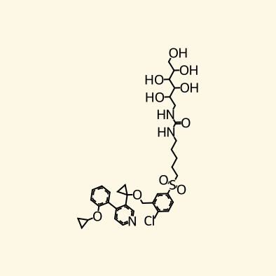 O=C(NCCCCCS(=O)(=O)c1ccc(Cl)c(COC2(c3cnccc3-c3ccccc3OC3CC3)CC2)c1)NCC(O)C(O)C(O)C(O)CO